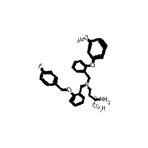 COc1cccc(Oc2ccccc2CN(CC[C@H](N)C(=O)O)Cc2ccccc2OCc2ccc(F)cc2)c1